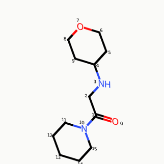 O=C(CNC1CCOCC1)N1CCCCC1